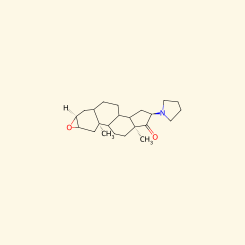 C[C@]12CC3O[C@H]3CC1CCC1C2CC[C@]2(C)C(=O)[C@H](N3CCCC3)CC12